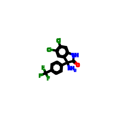 NC1(c2ccc(C(F)(F)F)cc2)C(=O)Nc2cc(Cl)c(Cl)cc21